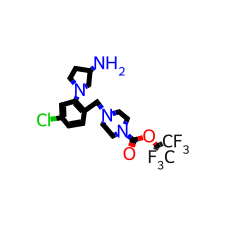 NC1CCN(c2cc(Cl)ccc2CN2CCN(C(=O)OC(C(F)(F)F)C(F)(F)F)CC2)C1